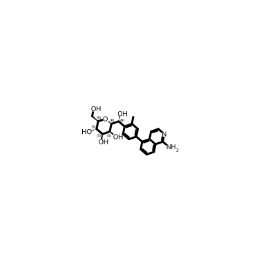 Cc1cc(-c2cccc3c(N)nccc23)ccc1[C@@H](O)[C@H]1O[C@H](CO)[C@@H](O)[C@H](O)[C@@H]1O